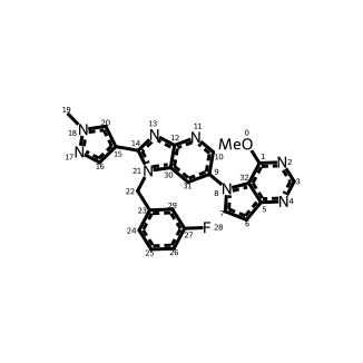 COc1ncnc2ccn(-c3cnc4nc(-c5cnn(C)c5)n(Cc5cccc(F)c5)c4c3)c12